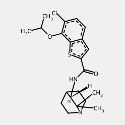 CC(C)Oc1c(Cl)ccc2cc(C(=O)N[C@H]3C4CCN(CC4)C3(C)C)sc12